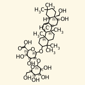 CC1(C)CC[C@]2(CO)[C@H](O)C[C@]3(C)C(=CCC4[C@@]5(C)CCC(O[C@@H]6O[C@H](C(=O)O)[C@@H](O)[C@H](O)[C@H]6O[C@@H]6O[C@H](CO)[C@@H](O)[C@H](O)[C@H]6O)C(C)(C)C5CC[C@]43C)[C@H]2C1